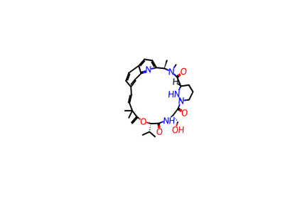 C=C1O[C@@H](C(C)C)C(=O)N[C@@H](CO)C(=O)N2CCC[C@H](N2)C(=O)N(C)[C@H](C)c2ccc3ccc(cc3n2)/C=C/C1(C)C